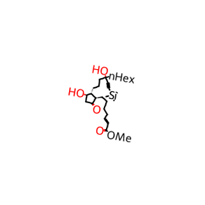 CCCCCCC(O)(C#C[Si](C)(C)C)CCC[C@H]1[C@H](O)CC(=O)[C@@H]1CCCCC=CC(=O)OC